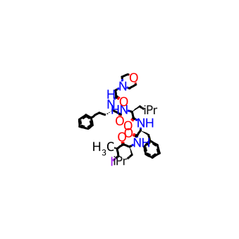 CC(C)C[C@H](NC(=O)[C@H](CCc1ccccc1)NC(=O)CN1CCOCC1)C(=O)N[C@@H](Cc1ccccc1)C(=O)N[C@@H](CC(C)C)C(=O)[C@H](C)CI